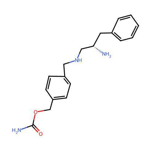 NC(=O)OCc1ccc(CNC[C@@H](N)Cc2ccccc2)cc1